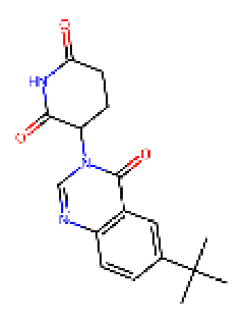 CC(C)(C)c1ccc2ncn(C3CCC(=O)NC3=O)c(=O)c2c1